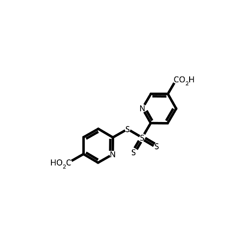 O=C(O)c1ccc(SS(=S)(=S)c2ccc(C(=O)O)cn2)nc1